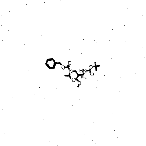 COC(=O)C(CN(C(=O)OCc1ccccc1)C(C)C)[C@@H](C)NC(=O)OC(C)(C)C